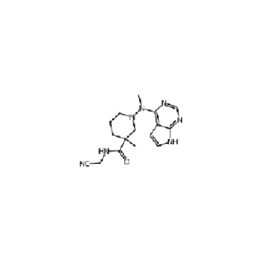 CN(c1ncnc2[nH]ccc12)N1CCCC(C)(C(=O)NCC#N)C1